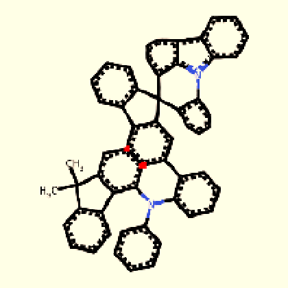 CC1(C)c2ccccc2-c2c(N(c3ccccc3)c3ccccc3-c3ccc4c(c3)C3(c5ccccc5-4)c4ccccc4-n4c5ccccc5c5cccc3c54)cccc21